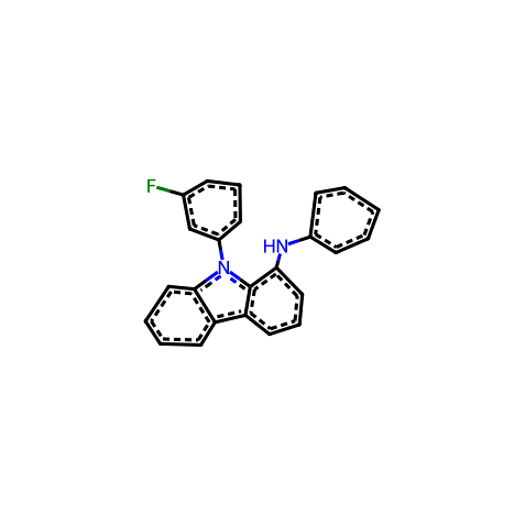 Fc1cccc(-n2c3ccccc3c3cccc(Nc4ccccc4)c32)c1